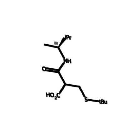 CC(C)[C@H](C)NC(=O)C(CSC(C)(C)C)C(=O)O